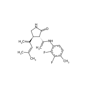 C=C(Nc1ccc(C)c(F)c1F)[C@H]1C(=O)NC[C@@H]1C(=C)C=C(C)C